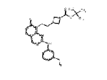 CC(C)(C)OC(=O)N1CC(CCn2c(=O)ccc3cnc(Nc4cccc(CCl)c4)nc32)C1